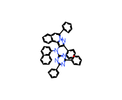 c1ccc(-c2nc(-c3ccccc3)nc(N(c3cccc4ccccc34)c3c(-c4ccccc4)nn4c(-c5ccccc5)cc5ccccc5c34)n2)cc1